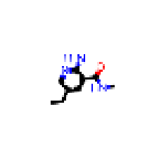 CCc1cnc(N)c(C(=O)NC)c1